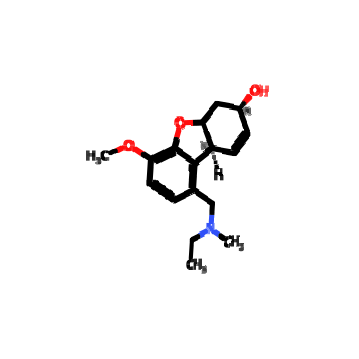 CCN(C)Cc1ccc(OC)c2c1[C@@H]1C=C[C@H](O)CC1O2